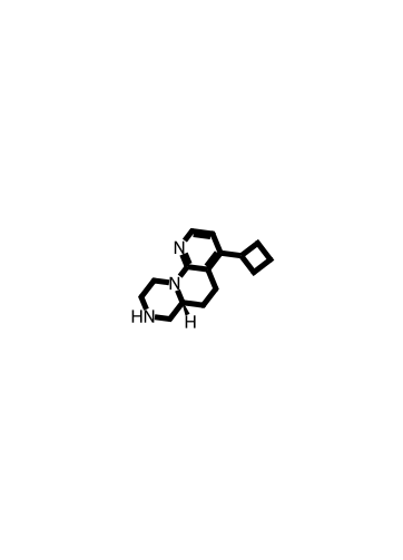 c1cc(C2CCC2)c2c(n1)N1CCNC[C@H]1CC2